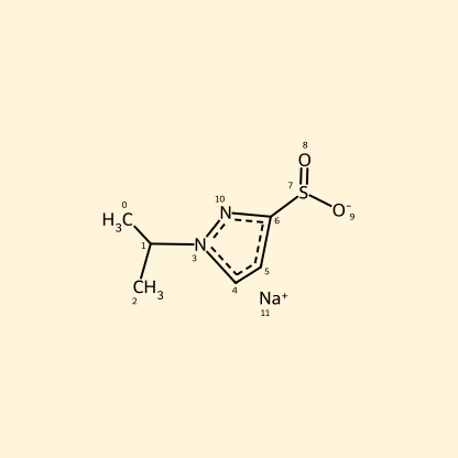 CC(C)n1ccc(S(=O)[O-])n1.[Na+]